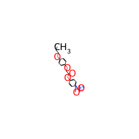 CCCOc1ccc(OCC(=O)Oc2ccc([N+](=O)[O-])cc2)cc1